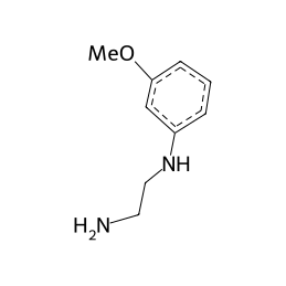 COc1cccc(NCCN)c1